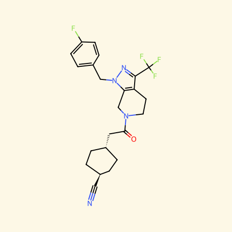 N#C[C@H]1CC[C@H](CC(=O)N2CCc3c(C(F)(F)F)nn(Cc4ccc(F)cc4)c3C2)CC1